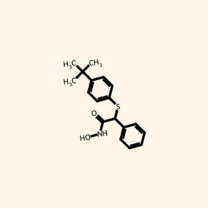 CC(C)(C)c1ccc(SC(C(=O)NO)c2ccccc2)cc1